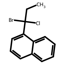 CCC(Cl)(Br)c1cccc2ccccc12